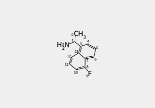 C[C@@H](N)c1cccc2c(F)cccc12